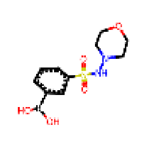 O=S(=O)(NN1CCOCC1)c1cccc(B(O)O)c1